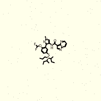 CCCS(Sc1ccc(OC(F)F)c(-c2nn(C)cc2NC(=O)c2cnn3cccnc23)c1)(C(C)CC)C(C)CC